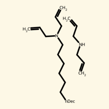 C=CCN(CC=C)CCCCCCCCCCCCCCCC.C=CCNCC=C